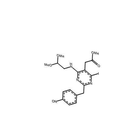 COC(=O)Cc1c(I)nc(Cc2ccc(N=O)cc2)nc1NCC(OC)OC